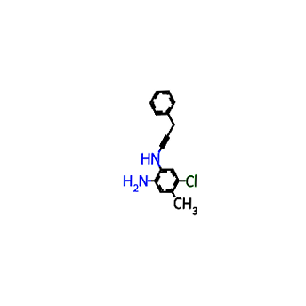 Cc1cc(N)c(NC#CCc2ccccc2)cc1Cl